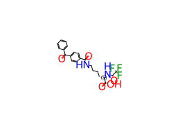 O=C(NCCCC[C@H](NC(=O)C(F)(F)F)C(=O)O)c1ccc(C(=O)c2ccccc2)cc1